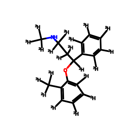 [2H]c1c([2H])c([2H])c(C([2H])(Oc2c([2H])c([2H])c([2H])c([2H])c2C([2H])([2H])[2H])C([2H])([2H])C([2H])([2H])NC([2H])([2H])[2H])c([2H])c1[2H]